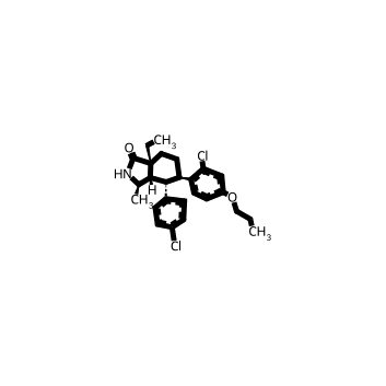 CCCOc1ccc([C@@H]2CC[C@@]3(CC)C(=O)N[C@H](C)[C@H]3[C@H]2c2ccc(Cl)cc2)c(Cl)c1